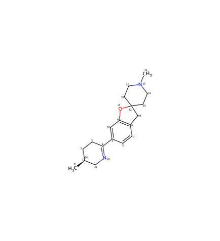 C[C@H]1CCC(c2ccc3c(c2)OC2(CCN(C)CC2)C3)=NC1